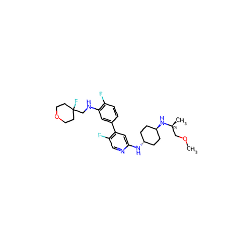 COC[C@H](C)N[C@H]1CC[C@H](Nc2cc(-c3ccc(F)c(NCC4(F)CCOCC4)c3)c(F)cn2)CC1